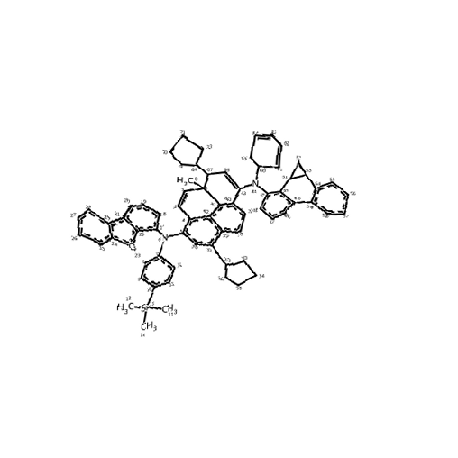 CC12C=Cc3c(N(c4ccc([Si](C)(C)C)cc4)c4cccc5c4oc4ccccc45)cc(C4CCCC4)c4ccc(c1c34)C(N(c1cccc3c1C1CC1c1ccccc1-3)C1C=CC=CC1)=CC2C1CCCC1